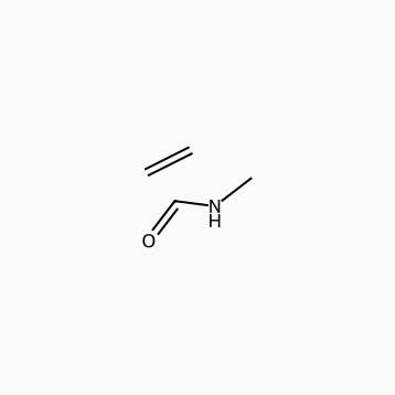 C=C.CNC=O